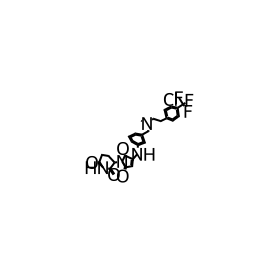 CN(CCc1ccc(C(F)(F)F)c(Cl)c1)Cc1cccc(NC2=CC(=O)N(C3CCC(=O)NC3=O)C2=O)c1